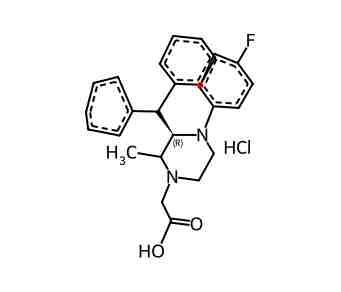 CC1[C@@H](C(c2ccccc2)c2ccccc2)N(c2ccc(F)cc2)CCN1CC(=O)O.Cl